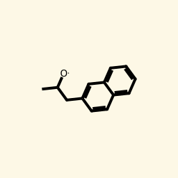 CC([O])Cc1ccc2ccccc2c1